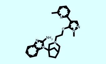 Cc1cccc(-c2cnn(C)c2OCCN2CC3CCC(n4c(N)nc5ccccc54)(C3)C2)n1